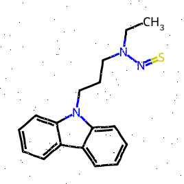 CCN(CCCn1c2ccccc2c2ccccc21)N=S